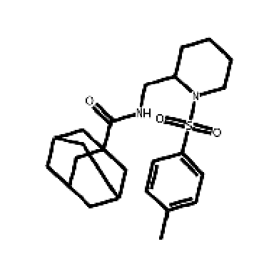 Cc1ccc(S(=O)(=O)N2CCCCC2CNC(=O)C23CC4CC(CC(C4)C2)C3)cc1